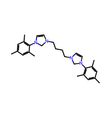 Cc1cc(C)c(N2C=CN(CCCCN3C=CN(c4c(C)cc(C)cc4C)C3)C2)c(C)c1